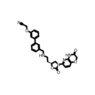 N#CCOc1cccc(-c2cccc(CNCC[C@H]3CN(c4ccc5c(n4)NC(=O)CO5)C(=O)O3)c2)c1